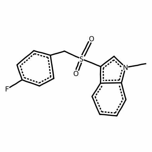 Cn1cc(S(=O)(=O)Cc2ccc(F)cc2)c2ccccc21